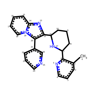 Cc1cccnc1C1CCCC(c2nc3ccccn3c2-c2cccnc2)N1